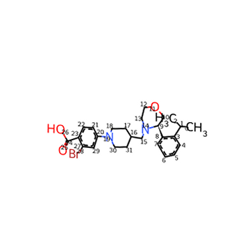 CC(C)c1ccccc1[C@@H]1COCCN1CC1CCN(c2ccc(C(=O)O)c(Br)c2)CC1